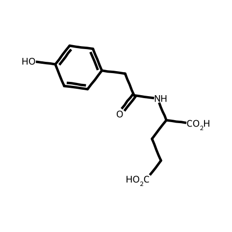 O=C(O)CCC(NC(=O)Cc1ccc(O)cc1)C(=O)O